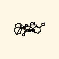 COC(=O)C12CC3CC(C1)C(N1CC(C)(c4cccc(Cl)c4)NC1=O)C(C3)C2